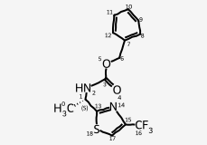 C[C@H](NC(=O)OCc1ccccc1)c1nc(C(F)(F)F)cs1